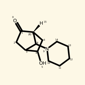 O=C1CC2C(O)C[C@@H]1C2N1CCCCC1